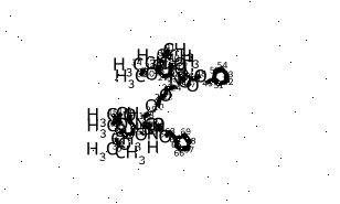 CC(C)(C)OC(=O)CC(C(=O)OC(C)(C)C)N(CCOCCOCCN(C(CC(=O)OC(C)(C)C)C(=O)OC(C)(C)C)S(=O)(=O)NC(=O)OCc1ccccc1)S(=O)(=O)NC(=O)OCc1ccccc1